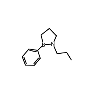 CCCN1CCCB1c1ccccc1